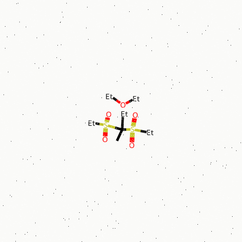 CCC(C)(S(=O)(=O)CC)S(=O)(=O)CC.CCOCC